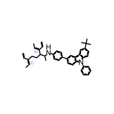 C=C/C(=C\C)CCC(/C(C=C)=C/C)C(C)Nc1ccc(-c2ccc3c(c2)c2cc(C(C)(C)C)ccc2n3-c2ccccc2)cc1